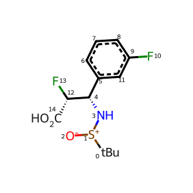 CC(C)(C)[S+]([O-])N[C@@H](c1cccc(F)c1)[C@@H](F)C(=O)O